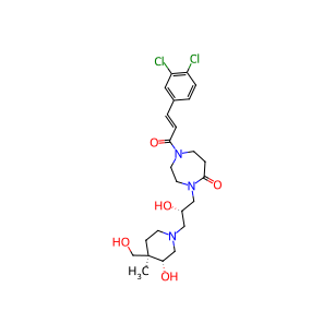 C[C@]1(CO)CCN(C[C@H](O)CN2CCN(C(=O)/C=C/c3ccc(Cl)c(Cl)c3)CCC2=O)C[C@@H]1O